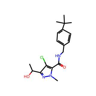 CC(O)c1nn(C)c(C(=O)NCc2ccc(C(C)(C)C)cc2)c1Cl